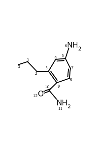 CCCc1cc(N)ccc1C(N)=O